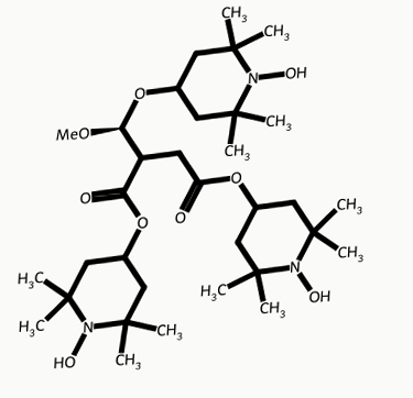 CO[C@@H](OC1CC(C)(C)N(O)C(C)(C)C1)C(CC(=O)OC1CC(C)(C)N(O)C(C)(C)C1)C(=O)OC1CC(C)(C)N(O)C(C)(C)C1